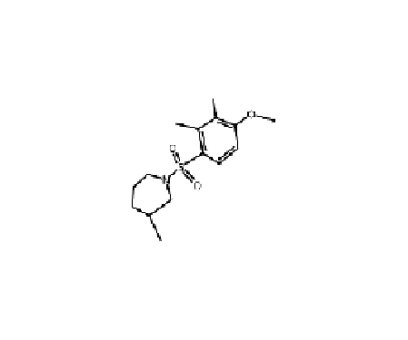 COc1ccc(S(=O)(=O)N2CCCC(C)C2)c(C)c1C